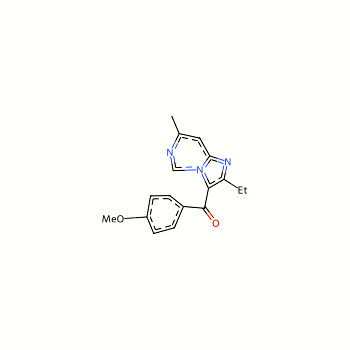 CCc1nc2cc(C)ncn2c1C(=O)c1ccc(OC)cc1